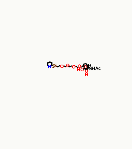 CC(=O)N[C@@H]1[C@@H](O)[C@@H](O)[C@]2(COCCOCCOCCOCCSSc3ccccn3)CC[C@H]1O2